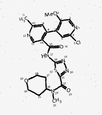 COc1cnc(Cl)cc1-c1cc(C)ncc1C(=O)Nc1nnc(C(=O)N(C)C2CCOCC2)s1